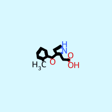 Cc1ccccc1C(=O)c1cc[nH]c1CC(=O)O